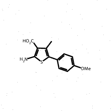 COc1ccc(-c2sc(N)c(C(=O)O)c2C)cc1